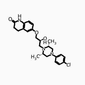 C[C@@H]1CN(c2ccc(Cl)cc2)C[C@H](C)N1C[C@H](O)COc1ccc2c(c1)CCC(=O)N2